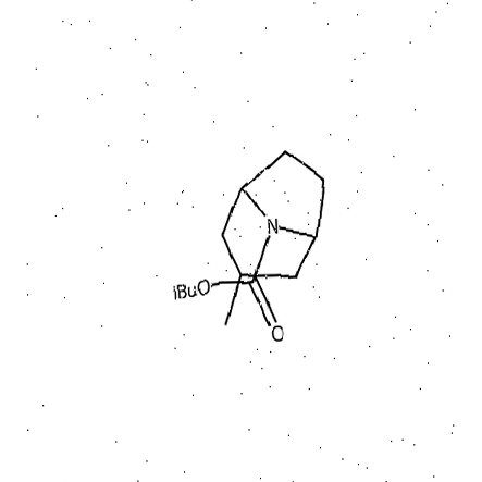 CC(C)COC(=O)N1C2CCC1CC(C)C2